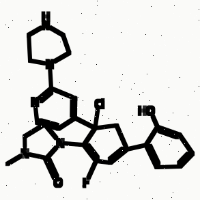 CN1CCN(C2=C(F)C=C(c3ccccc3O)CC2(Cl)c2ccnc(N3CCNCC3)c2)C1=O